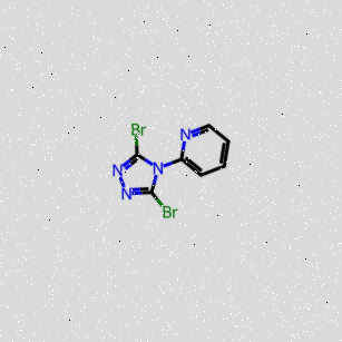 Brc1nnc(Br)n1-c1ccccn1